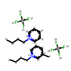 CCCC[n+]1cccc(C)c1.CCCC[n+]1ccccc1.F[B-](F)(F)F.F[B-](F)(F)F